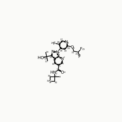 CC1(NC(=O)c2cnc3c(c2)c(C(C)(C)O)nn3-c2cc(OCC(F)F)ncc2F)CSC1